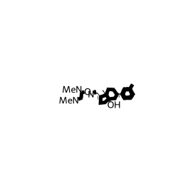 CNCC(NC)ON=C[C@H]1CC[C@]2(O)C[C@@H](c3cccc(C)c3)CC[C@]12C